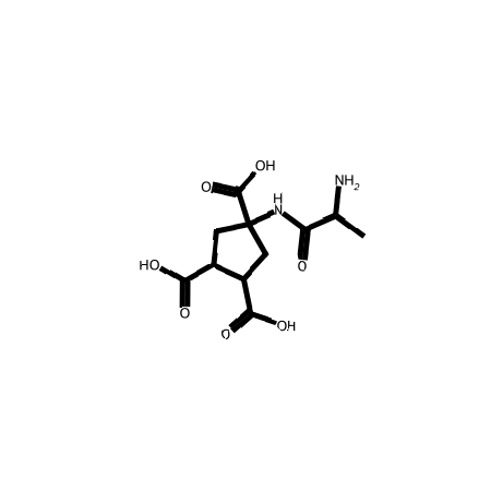 CC(N)C(=O)NC1(C(=O)O)CC(C(=O)O)C(C(=O)O)C1